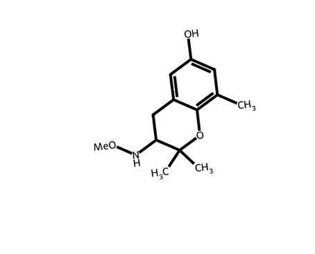 CONC1Cc2cc(O)cc(C)c2OC1(C)C